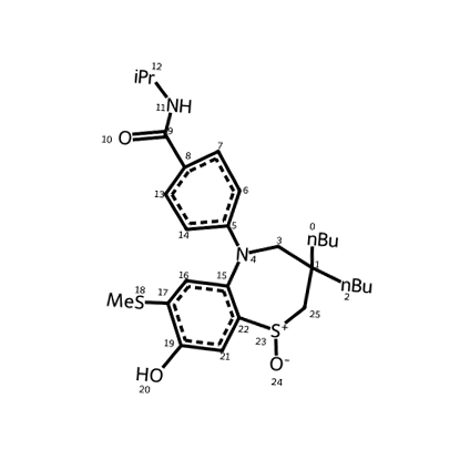 CCCCC1(CCCC)CN(c2ccc(C(=O)NC(C)C)cc2)c2cc(SC)c(O)cc2[S+]([O-])C1